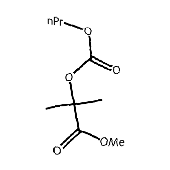 CCCOC(=O)OC(C)(C)C(=O)OC